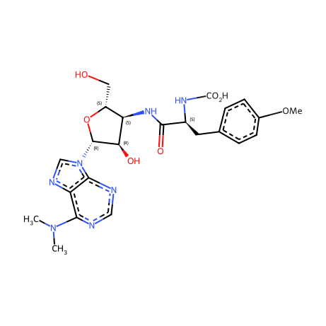 COc1ccc(C[C@H](NC(=O)O)C(=O)N[C@H]2[C@@H](O)[C@H](n3cnc4c(N(C)C)ncnc43)O[C@@H]2CO)cc1